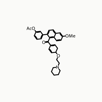 COc1ccc2c(C(=O)C3=CCC(OCCN4CCCCC4)C=C3)c(-c3cccc(OC(C)=O)c3)ccc2c1